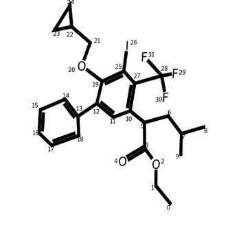 CCOC(=O)C(CC(C)C)c1cc(-c2ccccc2)c(OCC2CC2)c(I)c1C(F)(F)F